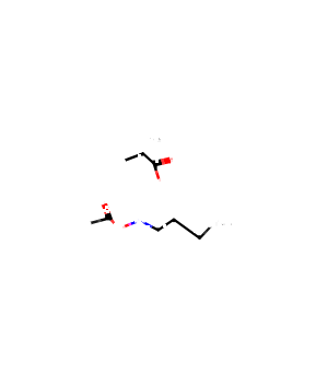 CCC(=O)[O-].CCCCCCCCCCCCNOC(=O)CC.[Na+]